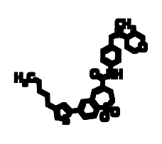 CCCCCc1csc(-c2ccc3c(c2)C=C(C(=O)Nc2ccc(CN(C)C4CCOCC4)cc2)CCS3(=O)=O)c1